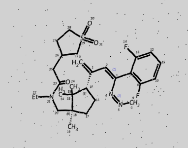 C=C(/C=C(\N=N/C)c1c(F)cccc1F)[C@@H]1CC[C@@](C)(CN(CC)C(=O)CC2CCS(=O)(=O)C2)C1(C)C